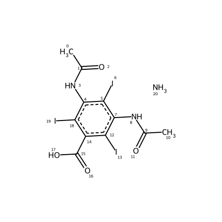 CC(=O)Nc1c(I)c(NC(C)=O)c(I)c(C(=O)O)c1I.N